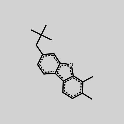 Cc1ccc2c(oc3cc(CC(C)(C)C)ccc32)c1C